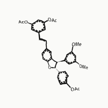 COc1cc(OC)cc([C@@H]2c3cc(/C=C/c4cc(OC(C)=O)cc(OC(C)=O)c4)ccc3O[C@H]2c2ccc(OC(C)=O)cc2)c1